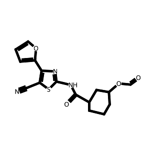 N#Cc1sc(NC(=O)C2CCCC(OC=O)C2)nc1-c1ccco1